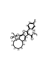 CNC(=O)c1c(-c2ccc(F)cc2)oc2c1=CC1CCCCCCN(S(C)(=O)=O)C1C=2